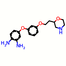 Nc1ccc(Oc2cccc(OCCC3CNCCO3)c2)cc1N